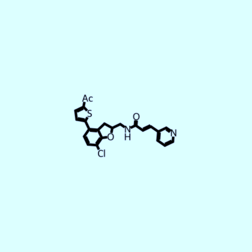 CC(=O)c1ccc(-c2ccc(Cl)c3c2CC(CNC(=O)/C=C/c2cccnc2)O3)s1